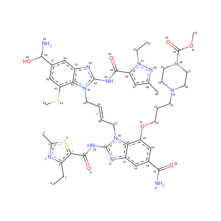 CCc1nc(C)sc1C(=O)Nc1nc2cc(C(N)=O)cc(OCCCN3CCN(C(=O)OC)CC3)c2n1C/C=C/Cn1c(NC(=O)c2cc(C)nn2CC)nc2cc(C(N)O)cc(SC)c21